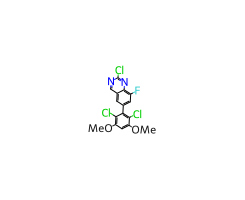 COc1cc(OC)c(Cl)c(-c2cc(F)c3nc(Cl)ncc3c2)c1Cl